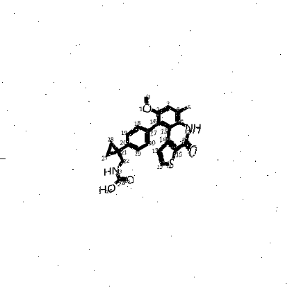 COc1cc(C)c2[nH]c(=O)c3sccc3c2c1-c1ccc(C2(CNC(=O)O)CC2)cc1